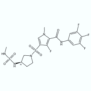 CNS(=O)(=O)N[C@@H]1CCN(S(=O)(=O)c2cn(C)c(C(=O)Nc3cc(F)c(F)c(F)c3)c2F)C1